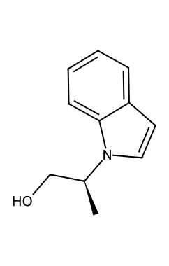 C[C@@H](CO)n1ccc2ccccc21